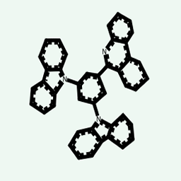 c1ccc2c(c1)nc(-c1cc(-n3c4ccccc4c4ccccc43)cc(-n3c4ccccc4c4ccccc43)c1)c1ccccc12